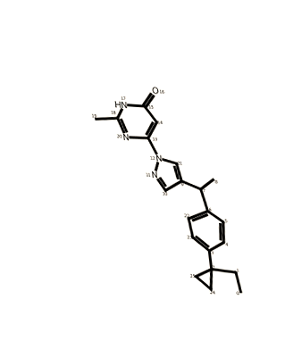 CCC1(c2ccc(C(C)c3cnn(-c4cc(=O)[nH]c(C)n4)c3)cc2)CC1